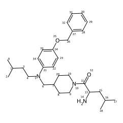 CC(C)CCN(CC1CCN(C(=O)C(N)CC(C)C)CC1)c1ccc(OCc2ccccc2)cc1